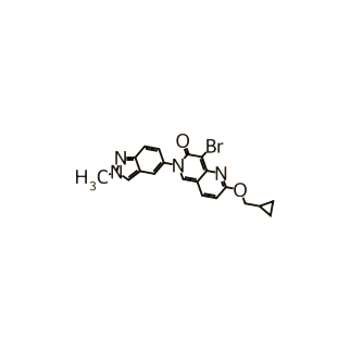 Cn1cc2cc(-n3cc4ccc(OCC5CC5)nc4c(Br)c3=O)ccc2n1